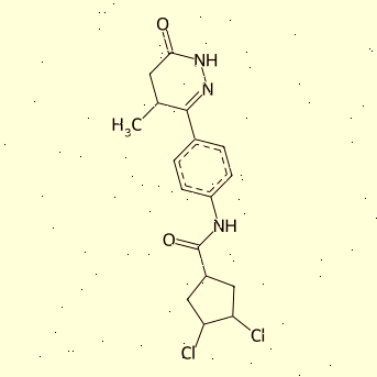 CC1CC(=O)NN=C1c1ccc(NC(=O)C2CC(Cl)C(Cl)C2)cc1